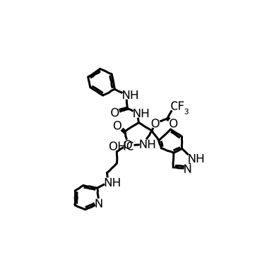 O=CNC(OC(=O)C(F)(F)F)(c1ccc2[nH]ncc2c1)C(NC(=O)Nc1ccccc1)C(=O)OCCCNc1ccccn1